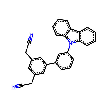 N#CCc1cc(CC#N)cc(-c2cccc(-n3c4ccccc4c4ccccc43)c2)c1